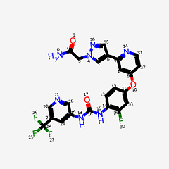 NC(=O)Cn1cc(-c2cc(Oc3ccc(NC(=O)Nc4cncc(C(F)(F)F)c4)c(F)c3)ccn2)cn1